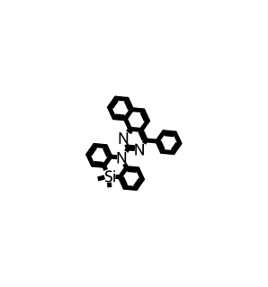 C[Si]1(C)c2ccccc2N(c2nc(-c3ccccc3)c3ccc4ccccc4c3n2)c2ccccc21